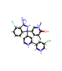 Cc1cc(C2(c3ccnc(-c4cncc(Cl)c4)c3)N=C(N)c3c(F)cccc32)cn(C)c1=O